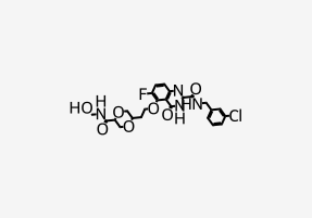 O=C(NCc1cccc(Cl)c1)c1nc2ccc(F)c(OCCC3COC(C(=O)NCO)CO3)c2c(=O)[nH]1